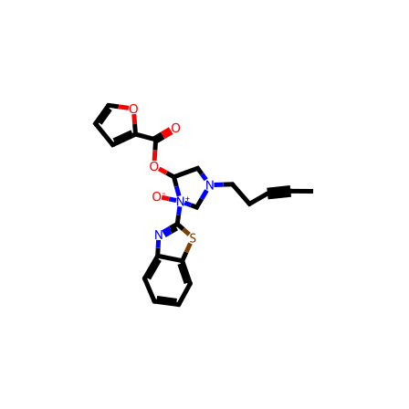 CC#CCCN1CC(OC(=O)c2ccco2)[N+]([O-])(c2nc3ccccc3s2)C1